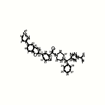 Cn1ccc(-c2ccc3oc(-c4ccnc(C(=O)N5CCN([C@H](c6ccccc6)c6nnn(C(F)F)n6)CC5)c4)nc3c2)n1